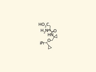 CC(C)C(OCC1(NC(=O)[C@@H](N)CC(=O)O)CC1)C1CC1